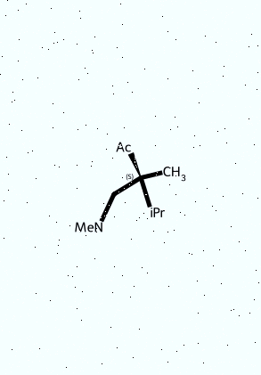 CNC[C@@](C)(C(C)=O)C(C)C